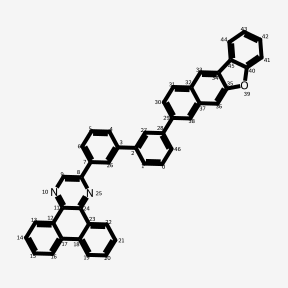 c1cc(-c2cccc(-c3cnc4c5ccccc5c5ccccc5c4n3)c2)cc(-c2ccc3cc4c(cc3c2)oc2ccccc24)c1